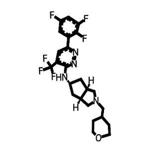 Fc1cc(F)c(F)c(-c2cc(C(F)(F)F)c(N[C@H]3C[C@@H]4CN(CC5CCOCC5)C[C@@H]4C3)nn2)c1